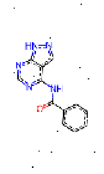 O=C(Nc1ncnc2[nH]ncc12)c1ccccc1